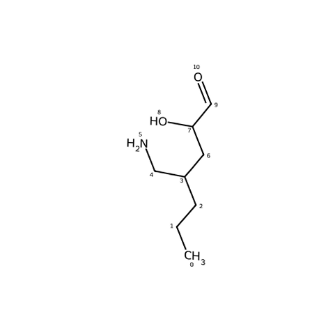 CCCC(CN)CC(O)C=O